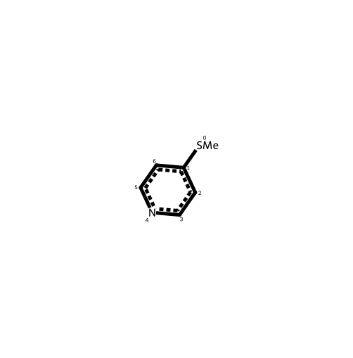 CSc1ccncc1